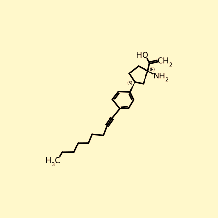 C=C(O)[C@@]1(N)CC[C@H](c2ccc(C#CCCCCCCC)cc2)C1